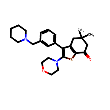 CC1(C)CC(=O)c2sc(N3CCOCC3)c(-c3cccc(CN4CCCCC4)c3)c2C1